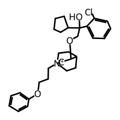 OC(COC1C[N+]2(CCCOc3ccccc3)CCC1CC2)(c1ccccc1Cl)C1CCCC1